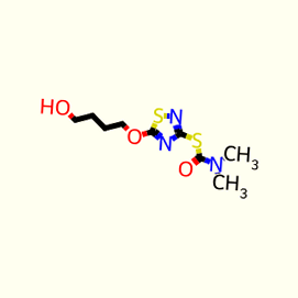 CN(C)C(=O)Sc1nsc(OCCCCO)n1